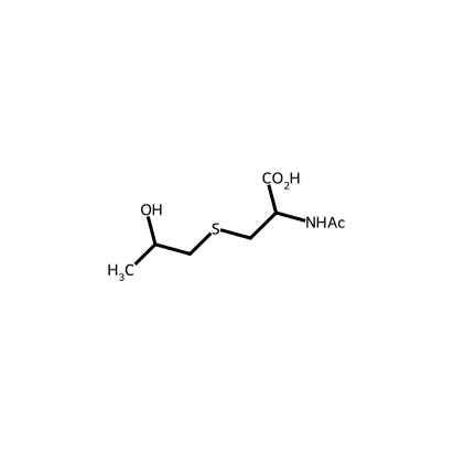 CC(=O)NC(CSCC(C)O)C(=O)O